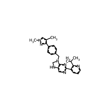 Cc1cn(C)nc1-c1ccc(CN2CNc3cnc(-c4cccnc4C(C)C)nc32)cc1